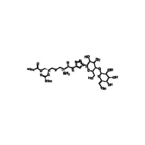 CCCCCCC(=O)OC[C@H](CSC[C@@H](N)C(=O)Nc1cn([C@@H]2OC(CO)C(OC3OC(CO)C(O)C(O)C3O)C(O)C2O)nn1)OC(=O)CCCCCC